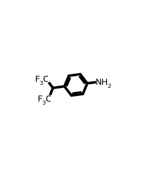 Nc1ccc(C(C(F)(F)F)C(F)(F)F)cc1